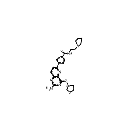 Nc1nc(O[C@H]2CCOC2)c2nc(-c3ccc(C(=O)NCCN4CCCC4)cc3)ccc2n1